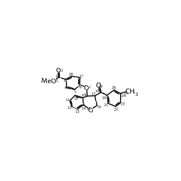 COC(=O)c1ccc(OC2c3ccccc3OCC2C(=O)c2cccc(C)c2)cc1